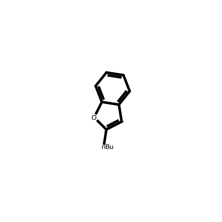 CCCCc1[c]c2ccccc2o1